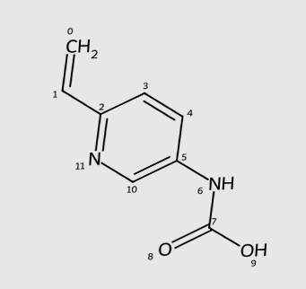 C=Cc1ccc(NC(=O)O)cn1